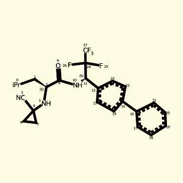 CC(C)C[C@H](NC1(C#N)CC1)C(=O)N[C@@H](c1ccc(-c2ccccc2)cc1)C(F)(F)C(F)(F)F